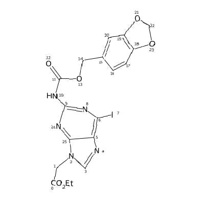 CCOC(=O)Cn1cnc2c(I)nc(NC(=O)OCc3ccc4c(c3)OCO4)nc21